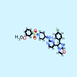 COc1cccc(S(=O)(=O)N2CCC(Nc3nccc(C4C(c5ccc(F)cc5)N=C5OC=CN54)n3)CC2)c1